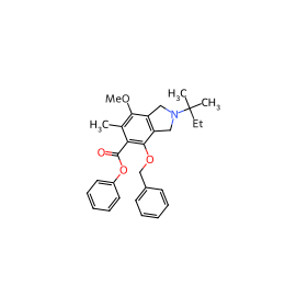 CCC(C)(C)N1Cc2c(c(OCc3ccccc3)c(C(=O)Oc3ccccc3)c(C)c2OC)C1